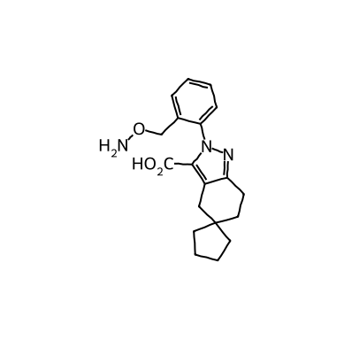 NOCc1ccccc1-n1nc2c(c1C(=O)O)CC1(CCCC1)CC2